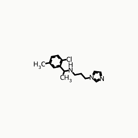 Cc1ccc(Cl)c(C(C)NCCCn2ccnc2)c1